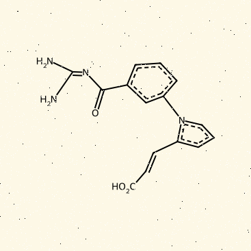 NC(N)=NC(=O)c1cccc(-n2cccc2C=CC(=O)O)c1